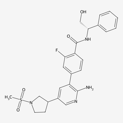 CS(=O)(=O)N1CCC(c2cnc(N)c(-c3ccc(C(=O)N[C@H](CO)c4ccccc4)c(F)c3)c2)C1